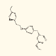 C/C=C\C(=O)SC(C=O)Cc1ccc(OCCc2ccc(CC)cn2)cc1